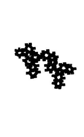 c1ccc(-n2c3ccccc3c3cccc(-c4nc(-c5ccc6ccccc6c5)nc(-c5ccc6ccc7oc8c(-n9c%10cc%11ccccc%11cc%10c%10c%11ccccc%11ccc%109)cccc8c7c6c5)n4)c32)cc1